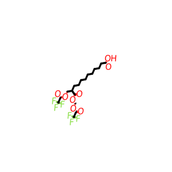 O=C(O)CCCCCCCCCC(COC(=O)C(F)(F)F)C(=O)OCOC(=O)C(F)(F)F